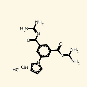 Cl.Cl.NC(N)=NC(=O)c1cc(C(=O)N=C(N)N)cc(-n2cccc2)c1